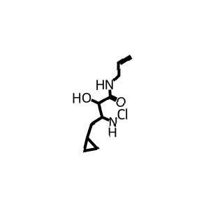 C=CCNC(=O)C(O)C(CC1CC1)NCl